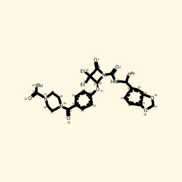 CCCC(NC(=O)N1C(=O)C(CC)(CC)[C@@H]1Oc1ccc(C(=O)N2CCN(C(=O)C(C)(C)C)CC2)cc1)c1ccc2c(c1)OCO2